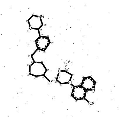 C[C@@H]1CN(c2ccc(C#N)c3ncccc23)C[C@H](CC2CCCC(Cc3cccc(C4CNCCO4)c3)CC2)O1